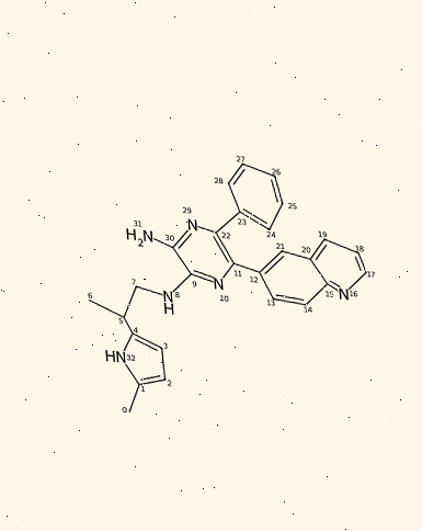 Cc1ccc(C(C)CNc2nc(-c3ccc4ncccc4c3)c(-c3ccccc3)nc2N)[nH]1